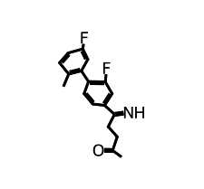 CC(=O)CCC(=N)c1ccc(-c2cc(F)ccc2C)c(F)c1